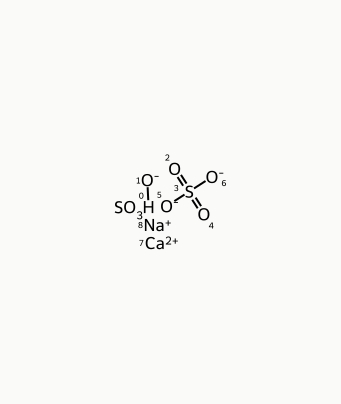 O=S(=O)([O-])O.O=S(=O)([O-])[O-].[Ca+2].[Na+]